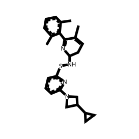 CC1=CCC(NSc2cccc(N3CC(C4CC4)C3)n2)N=C1c1c(C)cccc1C